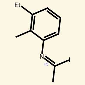 CCc1cccc(/N=C(/C)I)c1C